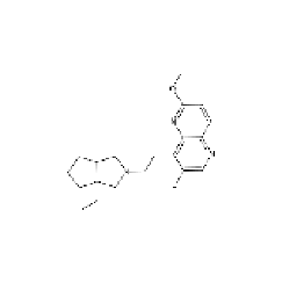 CCC12CCCC1CN(CCc1c(F)cnc3ccc(OC)nc13)C2